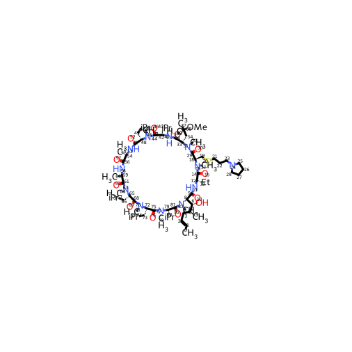 C/C=C/C[C@@H](C)[C@@H](O)[C@H]1C(=O)N[C@@H](CC)C(=O)N(C)[C@H](CSCCCN2CCCC2)C(=O)N(C)[C@@H](CC(C)(C)OC)C(=O)N[C@@H](C(C)C)C(=O)N(C)[C@@H](CC(C)C)C(=O)N[C@@H](C)C(=O)N[C@H](C)C(=O)N(C)[C@@H](CC(C)C)C(=O)N(C)[C@@H](CC(C)C)C(=O)N(C)[C@@H](C(C)C)C(=O)N1C